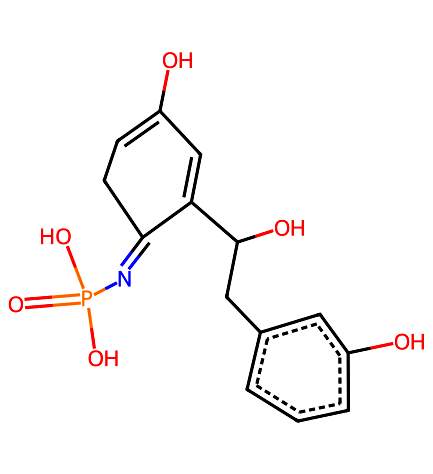 O=P(O)(O)N=C1CC=C(O)C=C1C(O)Cc1cccc(O)c1